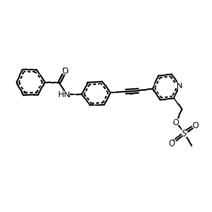 CS(=O)(=O)OCc1cc(C#Cc2ccc(NC(=O)c3ccccc3)cc2)ccn1